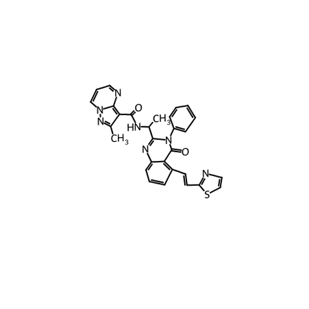 Cc1nn2cccnc2c1C(=O)NC(C)c1nc2cccc(/C=C/c3nccs3)c2c(=O)n1-c1ccccc1